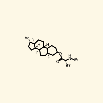 CC(=O)[C@H]1CC[C@H]2[C@@H]3CC[C@H]4C[C@H](OC(=O)[C@@H](NC(C)C)C(C)C)CC[C@]4(C)[C@H]3CC[C@]12C